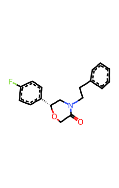 O=C1CO[C@H](c2ccc(F)cc2)CN1CCc1ccccc1